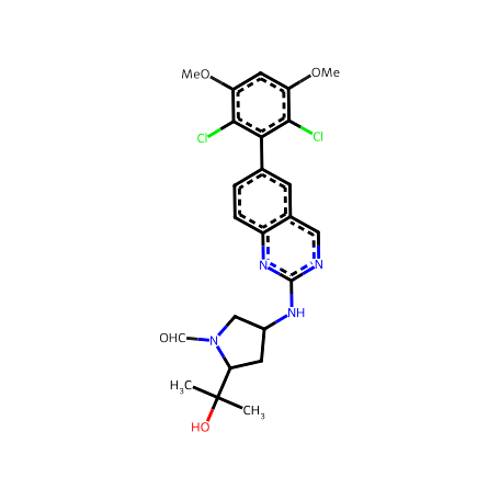 COc1cc(OC)c(Cl)c(-c2ccc3nc(NC4CC(C(C)(C)O)N(C=O)C4)ncc3c2)c1Cl